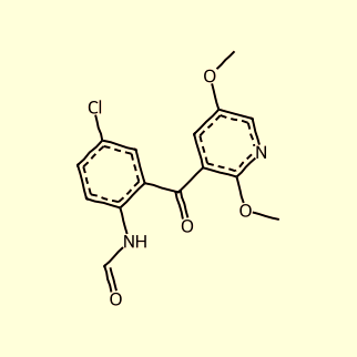 COc1cnc(OC)c(C(=O)c2cc(Cl)ccc2NC=O)c1